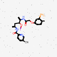 C=C(CC(OI)C(=C)NC(=O)COc1ccc(C)c(P)c1)NC(=O)c1ccc(C#N)cn1